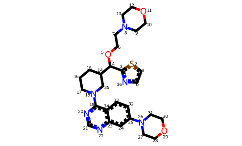 c1csc(C(OCCN2CCOCC2)C2CCCN(c3ncnc4cc(N5CCOCC5)ccc34)C2)n1